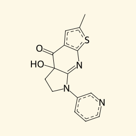 Cc1cc2c(s1)N=C1N(c3cccnc3)CCC1(O)C2=O